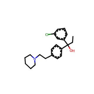 CCC(O)(c1ccc(CCN2CCCCC2)cc1)c1cccc(Cl)c1